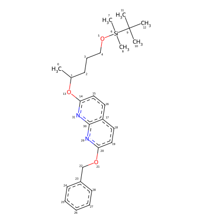 CC(CCCO[Si](C)(C)C(C)(C)C)Oc1ccc2ccc(OCc3ccccc3)nc2n1